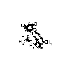 CCCN(CCOc1c(Cl)cc(Cl)cc1Cl)C(=O)n1ccnc1.C[C](C)C